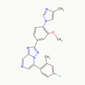 COc1cc(-c2nc3cncc(-c4ccc(F)cc4C)n3n2)ccc1-n1cnc(C)c1